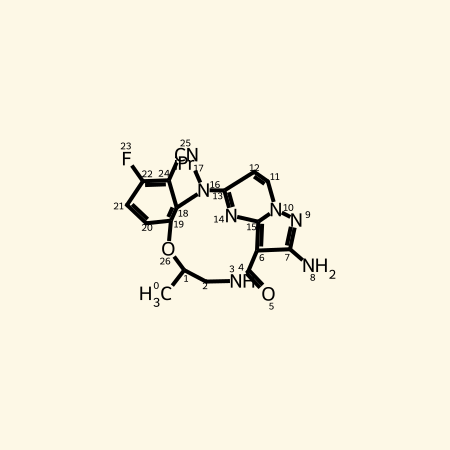 CC1CNC(=O)c2c(N)nn3ccc(nc23)N(C(C)C)c2c(ccc(F)c2C#N)O1